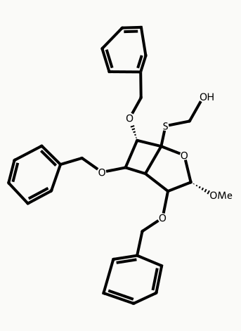 CO[C@H]1OC2(SCO)C(C1OCc1ccccc1)C(OCc1ccccc1)[C@@H]2OCc1ccccc1